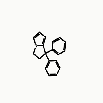 c1ccc(C2(c3ccccc3)CCn3cccc32)cc1